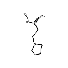 N=S(CCN1CCCC1)NCl